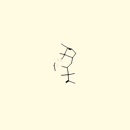 CC(=O)C(C)(C)C(O)CC1CC=C(C)C1(C)C.CCO